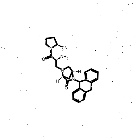 N#C[C@@H]1CCCN1C(=O)[C@@H](N)CN1C[C@@H]2C[C@H]1C(=O)N2C1c2ccccc2Cc2ccccc21